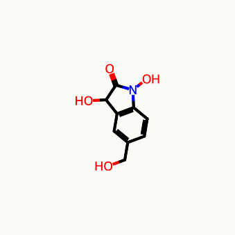 O=C1C(O)c2cc(CO)ccc2N1O